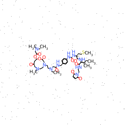 CC[C@H](C)[C@H](NC(=O)[C@H](CCSC)NC(=O)Nc1ccc(CNC(=O)CN(CC)CCN2CCN(C)CC(=O)CC(OC(=O)CN(C)CC)OC(=O)C2)cc1)C(=O)NCCN1C(=O)C=CC1=O